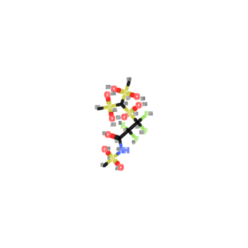 CS(=O)(=O)NC(=O)C(F)(F)C(F)(F)S(=O)(=O)C(S(C)(=O)=O)S(C)(=O)=O